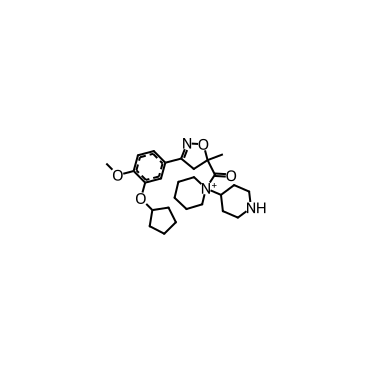 COc1ccc(C2=NOC(C)(C(=O)[N+]3(C4CCNCC4)CCCCC3)C2)cc1OC1CCCC1